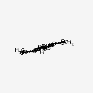 C=CC(=O)OCCCCCCOc1ccc2cc(C(=O)O[C@@H]3CO[C@@H]4C(PC(=O)c5ccc6cc(OCCCCCCOCC7(CC)COC7)ccc6c5)CO[C@@H]43)ccc2c1